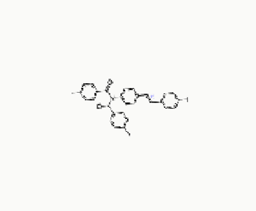 Cc1ccc(C(=O)N(C(=O)c2ccc(C)cc2)c2ccc(/C=C/c3ccc(I)cc3)cc2)cc1